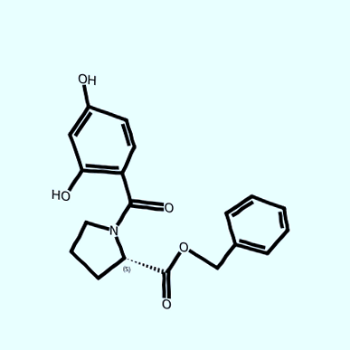 O=C(OCc1ccccc1)[C@@H]1CCCN1C(=O)c1ccc(O)cc1O